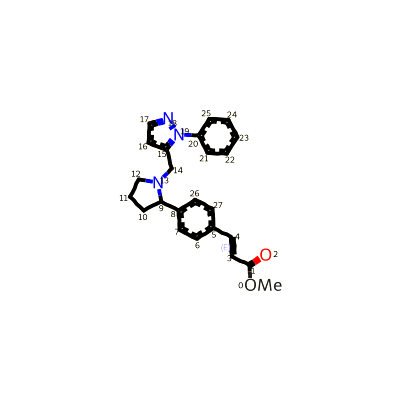 COC(=O)/C=C/c1ccc(C2CCCN2Cc2ccnn2-c2ccccc2)cc1